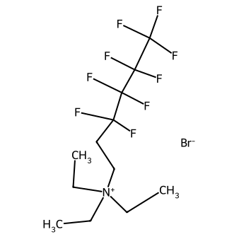 CC[N+](CC)(CC)CCC(F)(F)C(F)(F)C(F)(F)C(F)(F)F.[Br-]